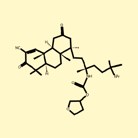 CCCC(C)(C)CC[C@@](C)(CC[C@]1(C)CC(=O)C[C@@H]2[C@@]3(C)C=C(C#N)C(=O)C(C)(C)[C@@H]3CC[C@]21C)NC(=O)OC1CCOC1